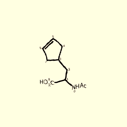 CC(=O)NC(CC1CC=CC1)C(=O)O